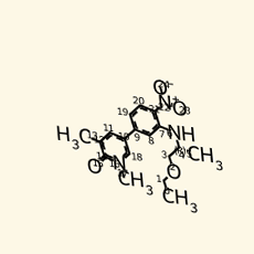 CCOC[C@@H](C)Nc1cc(-c2cc(C)c(=O)n(C)c2)ccc1[N+](=O)[O-]